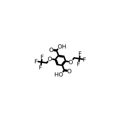 O=C(O)c1cc(OCC(F)(F)F)c(C(=O)O)cc1OCC(F)(F)F